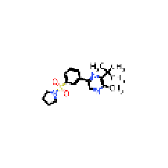 Cc1ncc(-c2cccc(S(=O)(=O)N3CCCC3)c2)nc1C(C)(C)C